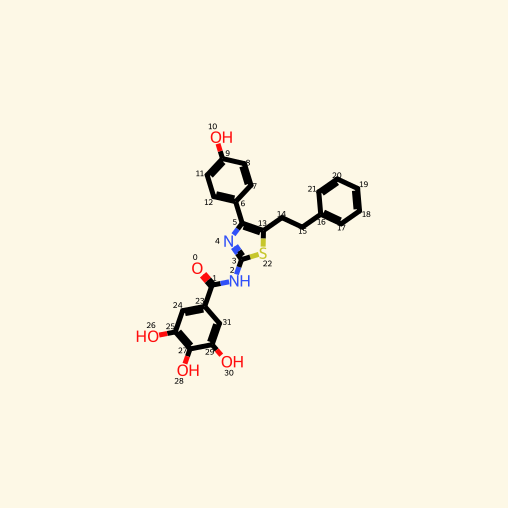 O=C(Nc1nc(-c2ccc(O)cc2)c(CCc2ccccc2)s1)c1cc(O)c(O)c(O)c1